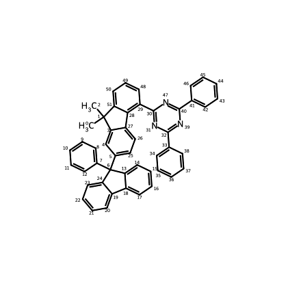 CC1(C)c2cc(C3(c4ccccc4)c4ccccc4-c4ccccc43)ccc2-c2c(-c3nc(-c4ccccc4)nc(-c4ccccc4)n3)cccc21